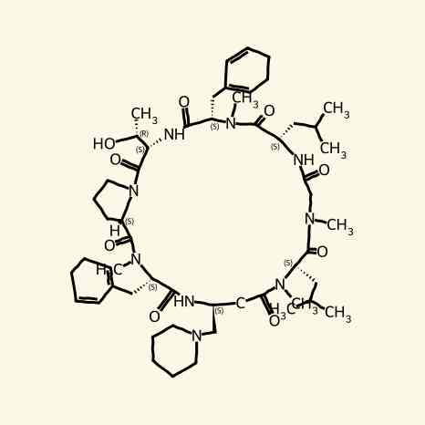 CC(C)C[C@@H]1NC(=O)CN(C)C(=O)[C@H](CC(C)C)N(C)C(=O)C[C@@H](CN2CCCCC2)NC(=O)[C@H](CC2=CCCC=C2)N(C)C(=O)[C@@H]2CCCN2C(=O)[C@H]([C@@H](C)O)NC(=O)[C@H](CC2=CCCC=C2)N(C)C1=O